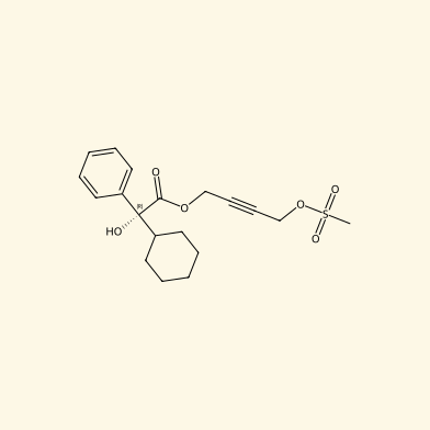 CS(=O)(=O)OCC#CCOC(=O)[C@](O)(c1ccccc1)C1CCCCC1